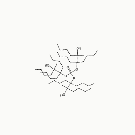 CCCCC(C)(O)C(CCCC)(CCCC)OP(=O)(OC(CCCC)(CCCC)C(C)(O)CCCC)OC(CCCC)(CCCC)C(C)(O)CCCC